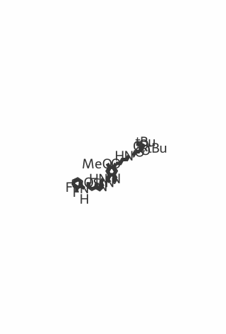 COc1cc2c(Nc3ncc(CC(=O)Nc4cccc(F)c4F)s3)ncnc2cc1OCCCNCCOP(=O)(OC(C)(C)C)OC(C)(C)C